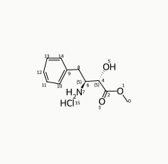 COC(=O)[C@@H](O)[C@@H](N)Cc1ccccc1.Cl